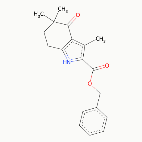 Cc1c(C(=O)OCc2ccccc2)[nH]c2c1C(=O)C(C)(C)CC2